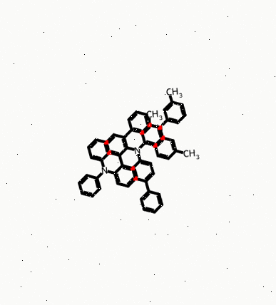 Cc1cccc(N(c2cccc(C)c2)c2cccc(-c3cccc(-c4ccccc4N(c4ccccc4)c4ccccc4)c3N(c3ccc(-c4ccccc4)cc3)c3cccc(C)c3)c2)c1